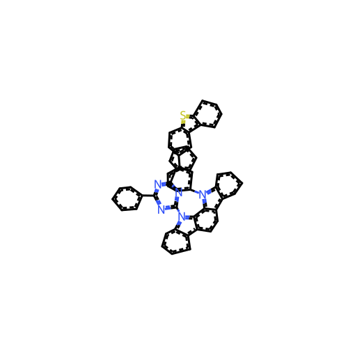 c1ccc(-c2nc(-c3ccccc3)nc(-n3c4ccccc4c4ccc5c6ccccc6n(-c6cccc(-c7ccc8sc9ccccc9c8c7)c6)c5c43)n2)cc1